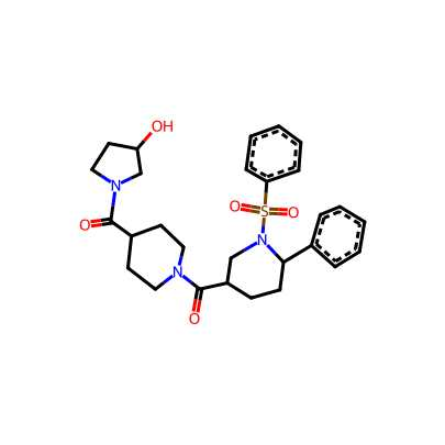 O=C(C1CCC(c2ccccc2)N(S(=O)(=O)c2ccccc2)C1)N1CCC(C(=O)N2CCC(O)C2)CC1